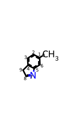 Cc1ccc2c(c1)N=CC2